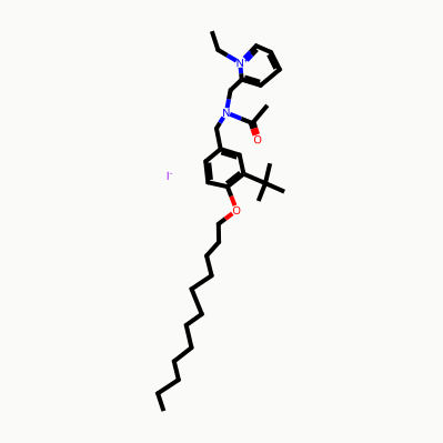 CCCCCCCCCCCCOc1ccc(CN(Cc2cccc[n+]2CC)C(C)=O)cc1C(C)(C)C.[I-]